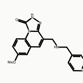 COc1ccc2c(c1)cc(CNCc1ccncc1)c1n[nH]c(=O)n12